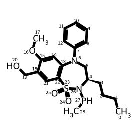 CCCC[C@@H]1CN(c2ccccc2)c2cc(OC)c(CO)cc2S(=O)(=O)N1PC